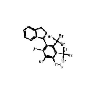 Cc1c(Br)c(Br)c(C2CCc3ccccc32)c(C(Br)(Br)Br)c1C(Br)(Br)Br